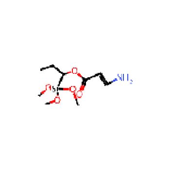 CCC(OC(=O)C=CN)[Si](OC)(OC)OC